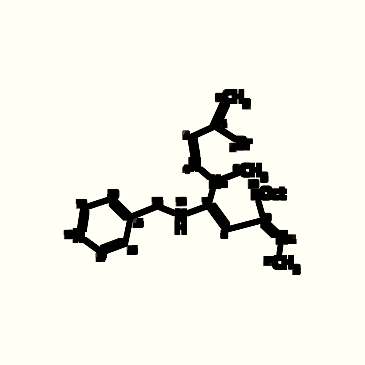 C=C(Br)/C=N\N(C)/C(=C\C(CCCCCCCC)=N/C)NCc1ccncc1